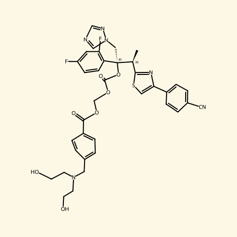 C[C@@H](c1nc(-c2ccc(C#N)cc2)cs1)[C@@](Cn1cncn1)(OC(=O)OCOC(=O)c1ccc(CN(CCO)CCO)cc1)c1ccc(F)cc1F